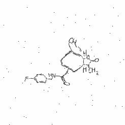 C=C1C(=O)O[C@@H]2C=C(C)CCC=C(C(=O)NCc3ccc(F)cc3)CC[C@H]12